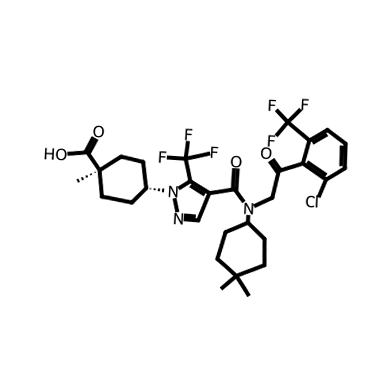 CC1(C)CCC(N(CC(=O)c2c(Cl)cccc2C(F)(F)F)C(=O)c2cnn([C@H]3CC[C@](C)(C(=O)O)CC3)c2C(F)(F)F)CC1